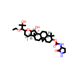 CCOC(C1C[C@@H](C)[C@H]2C(O1)[C@H](O)[C@@]1(C)C3CC[C@H]4C(C)(C)C(OC(=O)NC5CCNC5=O)CCC45CC35CCC21C)C(C)(C)O